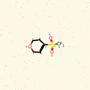 O=S(=O)(C1=CCOCC1)C(F)(F)F